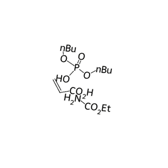 C=CC(=O)O.CCCCOP(=O)(O)OCCCC.CCOC(N)=O